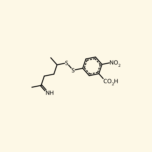 CC(=N)CCC(C)SSc1ccc([N+](=O)[O-])c(C(=O)O)c1